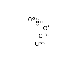 [Cr+3].[Cr+3].[Cr+3].[O-2].[O-2]